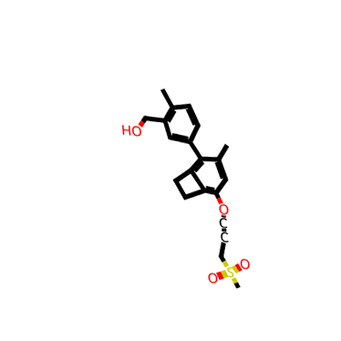 Cc1ccc(-c2c(C)cc(OCCCS(C)(=O)=O)c3c2CC3)cc1CO